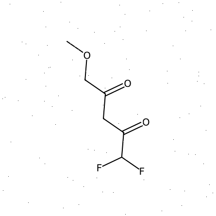 COCC(=O)CC(=O)C(F)F